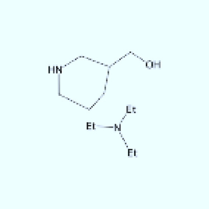 CCN(CC)CC.OCC1CCCNC1